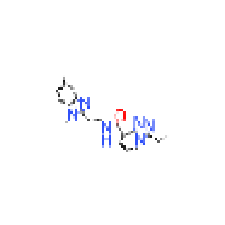 CCc1nnc2c(C(=O)NCCc3nc4cc(C)ccc4n3C)cccn12